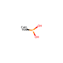 O[P](O)[AlH].[CaH2]